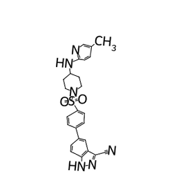 Cc1ccc(NC2CCN(S(=O)(=O)c3ccc(-c4ccc5[nH]nc(C#N)c5c4)cc3)CC2)nc1